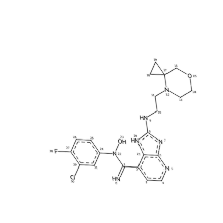 N=C(c1ccnc2nc(NCCN3CCOCC34CC4)[nH]c12)N(O)c1ccc(F)c(Cl)c1